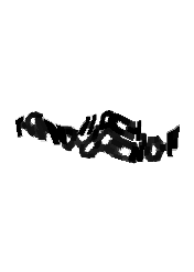 CC1(C)c2cc(-c3cc[n+](-c4ccc(F)cc4)cc3)ccc2-c2cc[n+](-c3ccc(F)cc3)cc21